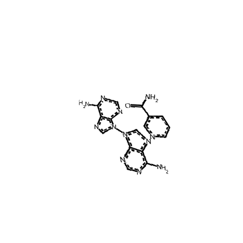 NC(=O)c1cccnc1.Nc1ncnc2c1ncn2-n1cnc2c(N)ncnc21